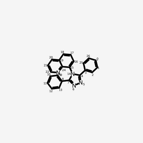 [c]1ccc(-c2nnc(-c3ccccc3)n2-c2cccc3cccnc23)cc1